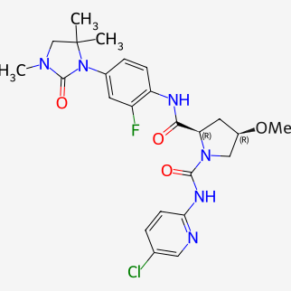 CO[C@@H]1C[C@H](C(=O)Nc2ccc(N3C(=O)N(C)CC3(C)C)cc2F)N(C(=O)Nc2ccc(Cl)cn2)C1